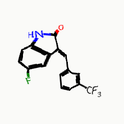 O=C1Nc2ccc(F)cc2C1=Cc1cccc(C(F)(F)F)c1